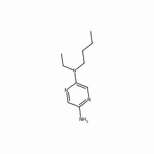 CCCCN(CC)c1cnc(N)cn1